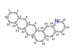 c1ccc2cc3cc4c(ccc5cc6cccnc6cc54)cc3cc2c1